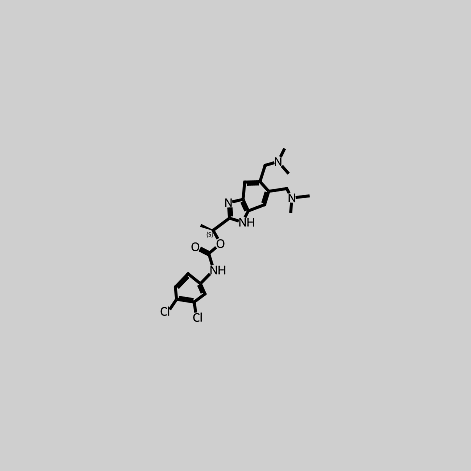 C[C@H](OC(=O)Nc1ccc(Cl)c(Cl)c1)c1nc2cc(CN(C)C)c(CN(C)C)cc2[nH]1